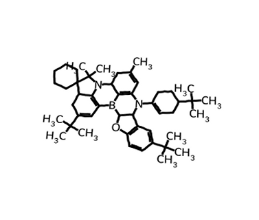 CC1=CC2=C3B(C4=C5C(CC(C(C)(C)C)=C4)C4(CCCCC4)C(C)(C)N5C3C1)C1Oc3ccc(C(C)(C)C)cc3C1N2C1=CCC(C(C)(C)C)CC1